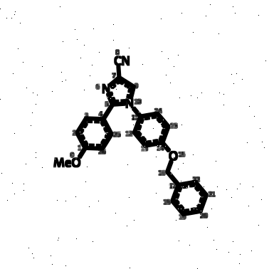 COc1ccc(-c2nc(C#N)cn2-c2ccc(OCc3ccccc3)cc2)cc1